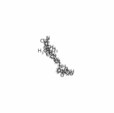 CC1(C)[C@H](NC(=O)c2ccc(N3CCN(CCNc4cccc5c4CN(C4CCC(=O)NC4=O)C5=O)CC3)nc2)C(C)(C)[C@H]1Oc1ccc(C#N)c(Cl)c1